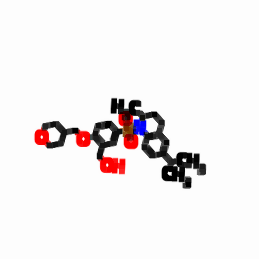 CC(C)c1ccc2c(c1)CCC(C)N2S(=O)(=O)c1ccc(OCC2CCOCC2)c(CO)c1